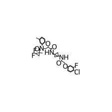 Cc1ccc2c(c1)N(C(=O)C1(C)CC1(F)F)CC(C(=O)NC13CC(NC(=O)COc4ccc(Cl)c(F)c4)(C1)C3)O2